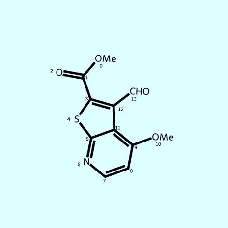 COC(=O)c1sc2nccc(OC)c2c1C=O